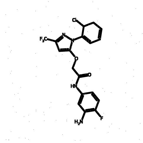 Nc1cc(NC(=O)COc2cc(C(F)(F)F)nn2C2=CC=CCC2Cl)ccc1F